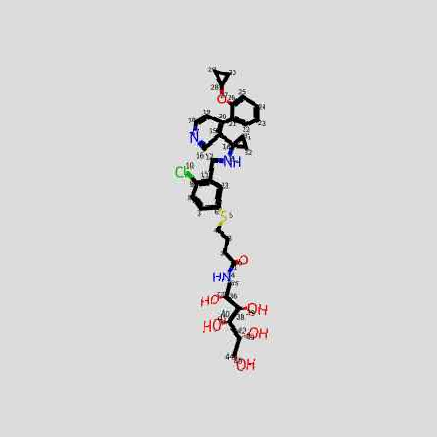 O=C(CCCSc1ccc(Cl)c(CNC2(c3cnccc3-c3ccccc3OC3CC3)CC2)c1)NC[C@H](O)[C@@H](O)[C@H](O)[C@H](O)CO